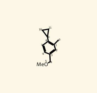 [CH2]c1cc(COC)ccc1C1CC1